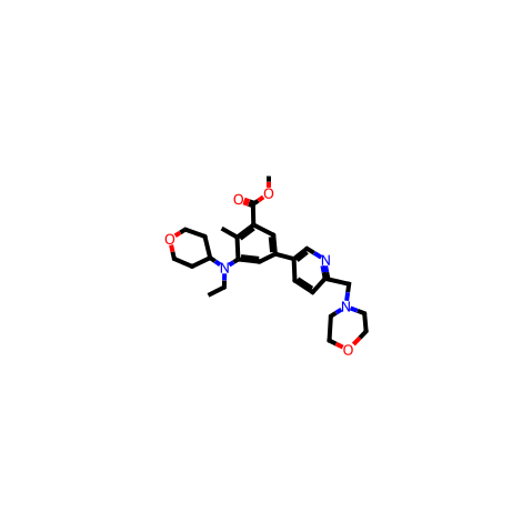 CCN(c1cc(-c2ccc(CN3CCOCC3)nc2)cc(C(=O)OC)c1C)C1CCOCC1